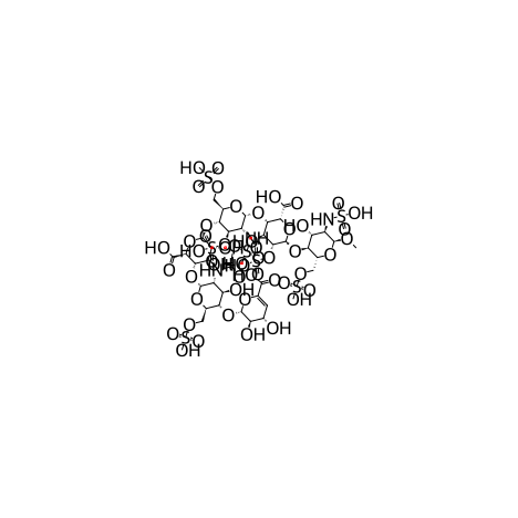 CO[C@H]1O[C@H](COS(=O)(=O)O)[C@@H](O[C@@H]2O[C@@H](C(=O)O)[C@@H](O[C@H]3O[C@H](COS(=O)(=O)O)[C@@H](O[C@@H]4O[C@H](C(=O)O)[C@@H](O[C@H]5O[C@H](COS(=O)(=O)O)[C@@H](O[C@@H]6OC(C(=O)O)=C[C@H](O)[C@H]6O)[C@H](O)[C@H]5NC(C)=O)[C@H](O)[C@H]4O)[C@H](OS(=O)(=O)O)[C@H]3NS(=O)(=O)O)[C@H](O)[C@H]2OS(=O)(=O)O)[C@H](O)[C@H]1NS(=O)(=O)O